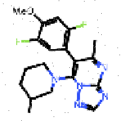 COc1cc(F)c(-c2c(C)nc3ncnn3c2N2CCCC(C)C2)cc1F